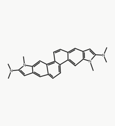 CN(C)c1cc2cc3ccc4c5cc6c(cc(N(C)C)n6C)cc5ccc4c3cc2n1C